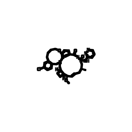 CO[C@H]1/C=C/C[C@H](C)CS(=O)(Nc2cccnn2)=NC(=O)c2ccc3c(c2)N(Cc2ccc(Cl)cc2CCCCO3)C[C@@H]2CC[C@H]21